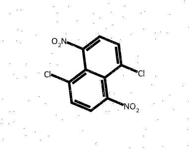 O=[N+]([O-])c1ccc(Cl)c2c([N+](=O)[O-])ccc(Cl)c12